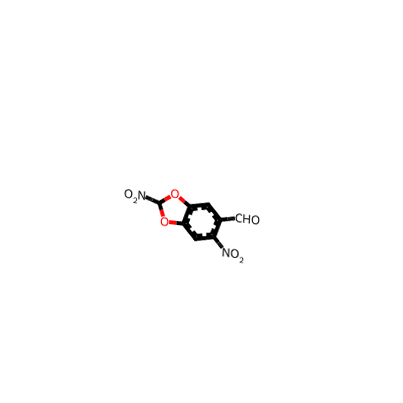 O=Cc1cc2c(cc1[N+](=O)[O-])OC([N+](=O)[O-])O2